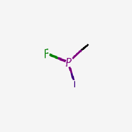 CP(F)I